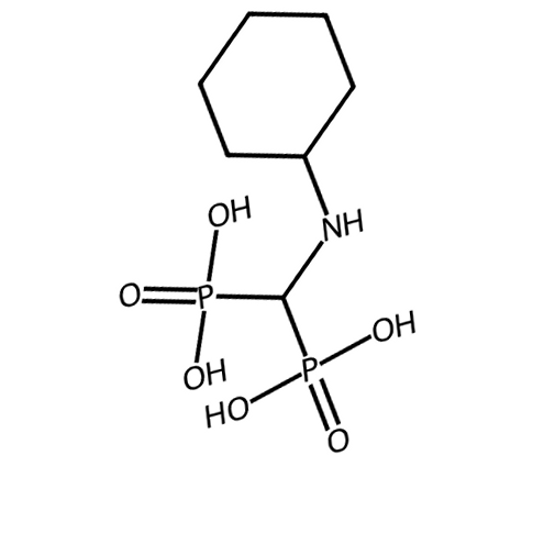 O=P(O)(O)C(NC1CCCCC1)P(=O)(O)O